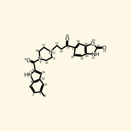 Cc1ccc2[nH]c(C(=O)N3CCN(CCC(=O)c4ccc5[nH]c(=O)oc5c4)CC3)cc2c1